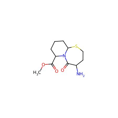 COC(=O)C1CCCC2SCCC(N)C(=O)N21